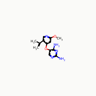 C=C(C)c1cnc(OC)cc1Oc1cnc(N)nc1N